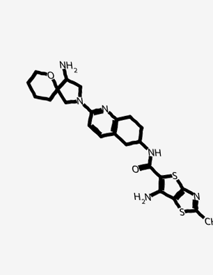 Cc1nc2sc(C(=O)NC3CCc4nc(N5CC(N)C6(CCCCO6)C5)ccc4C3)c(N)c2s1